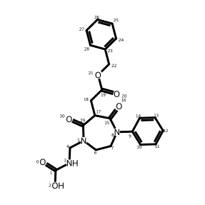 O=C(O)NCN1CCN(c2ccccc2)C(=O)C(CC(=O)OCc2ccccc2)C1=O